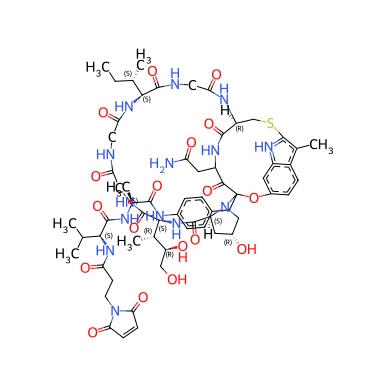 CC[C@H](C)[C@@H]1NC(=O)CNC(=O)CNC(=O)[C@H]([C@@H](C)[C@@H](O)CO)NC(=O)[C@@H]2C[C@@H](O)CN2C2(Cc3ccc(NC(=O)[C@H](C)NC(=O)[C@@H](NC(=O)CCN4C(=O)C=CC4=O)C(C)C)cc3)Oc3ccc4c(C)c([nH]c4c3)SC[C@H](NC(=O)CNC1=O)C(=O)NC(CC(N)=O)C2=O